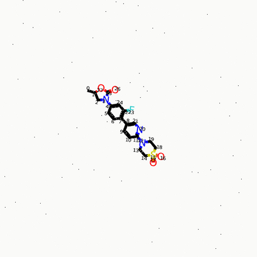 CC1CN(c2ccc(-c3ccc(N4CCS(=O)(=O)CC4)nc3)c(F)c2)C(=O)O1